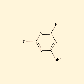 CCCc1nc(Cl)nc(CC)n1